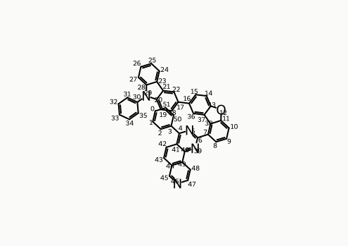 c1ccc(-c2nc(-c3cccc4oc5ccc(-c6ccc7c(c6)c6ccccc6n7-c6ccccc6)cc5c34)nc3c2ccc2cnccc23)cc1